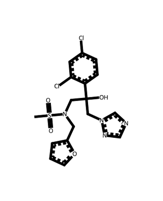 CS(=O)(=O)N(Cc1ccco1)CC(O)(Cn1cncn1)c1ccc(Cl)cc1Cl